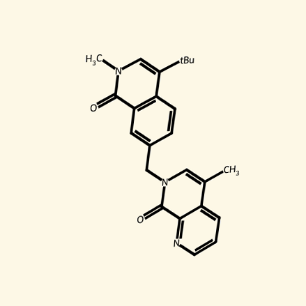 Cc1cn(Cc2ccc3c(C(C)(C)C)cn(C)c(=O)c3c2)c(=O)c2ncccc12